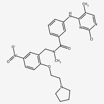 Cc1cnc(Cl)nc1Nc1cccc(C(=O)N(C)Cc2cc([N+](=O)[O-])ccc2OCCN2CCCC2)c1